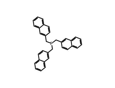 c1ccc2cc(CP(Cc3ccc4ccccc4c3)Cc3ccc4ccccc4c3)ccc2c1